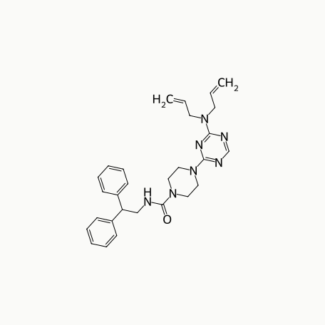 C=CCN(CC=C)c1ncnc(N2CCN(C(=O)NCC(c3ccccc3)c3ccccc3)CC2)n1